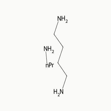 CCCN.NCCCCN